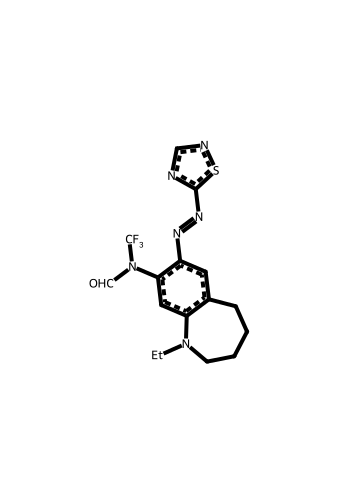 CCN1CCCCc2cc(N=Nc3ncns3)c(N(C=O)C(F)(F)F)cc21